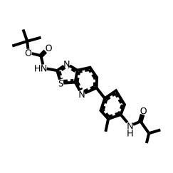 Cc1cc(-c2ccc3nc(NC(=O)OC(C)(C)C)sc3n2)ccc1NC(=O)C(C)C